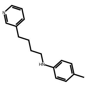 Cc1ccc(NCCCCc2cccnc2)cc1